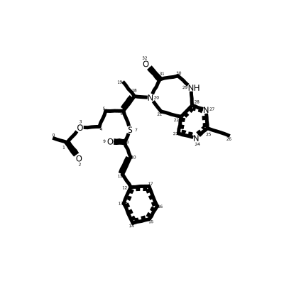 CC(=O)OCC/C(SC(=O)/C=C/c1ccccc1)=C(\C)N1Cc2cnc(C)nc2NCC1=O